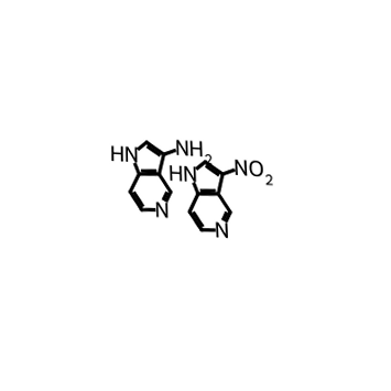 Nc1c[nH]c2ccncc12.O=[N+]([O-])c1c[nH]c2ccncc12